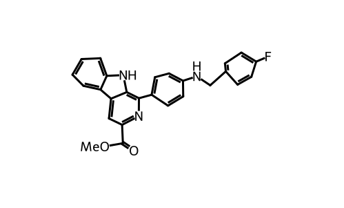 COC(=O)c1cc2c([nH]c3ccccc32)c(-c2ccc(NCc3ccc(F)cc3)cc2)n1